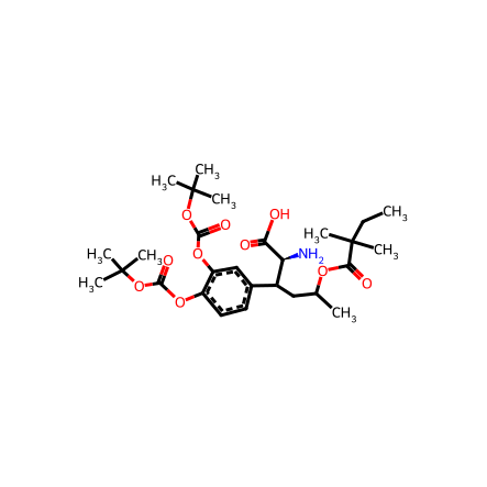 CCC(C)(C)C(=O)OC(C)CC(c1ccc(OC(=O)OC(C)(C)C)c(OC(=O)OC(C)(C)C)c1)[C@H](N)C(=O)O